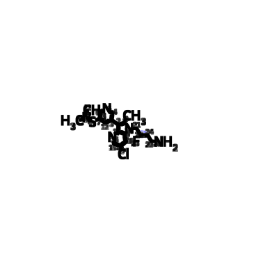 Cc1c(-c2cncc(SN(C)C)c2)c2ncc(Cl)cc2n1C/C(F)=C/CN